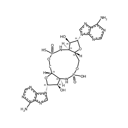 Nc1ncnc2c1ncn2[C@@H]1O[C@@H]2COP(=O)(S)N[C@H]3[C@@H](O)[C@H](n4cnc5c(N)ncnc54)O[C@@H]3COP(=O)(O)N[C@H]2[C@H]1O